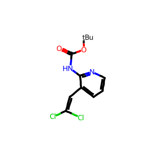 CC(C)(C)OC(=O)Nc1ncccc1C=C(Cl)Cl